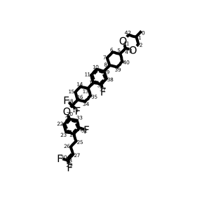 CC1COC(C2CCC(c3ccc(C4CCC(C(F)(F)Oc5ccc(CCC=C(F)F)c(F)c5)CC4)c(F)c3)CC2)OC1